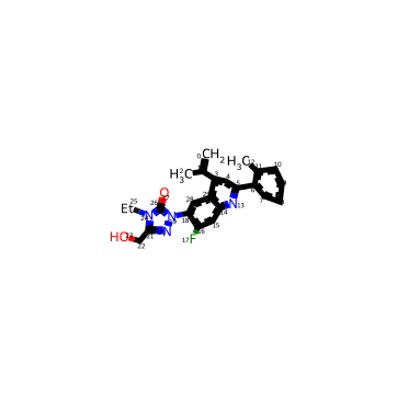 C=C(C)c1cc(-c2ccccc2C)nc2cc(F)c(-n3nc(CO)n(CC)c3=O)cc12